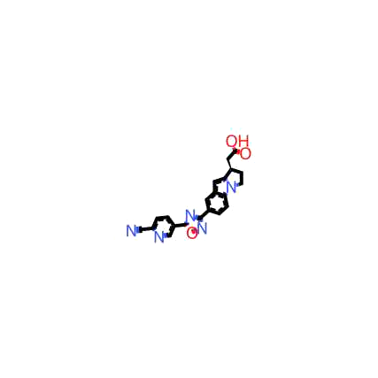 N#Cc1ccc(-c2nc(-c3ccc4c(c3)cc3n4CC[C@@H]3CC(=O)O)no2)cn1